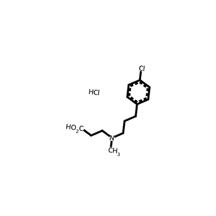 CN(CCCc1ccc(Cl)cc1)CCC(=O)O.Cl